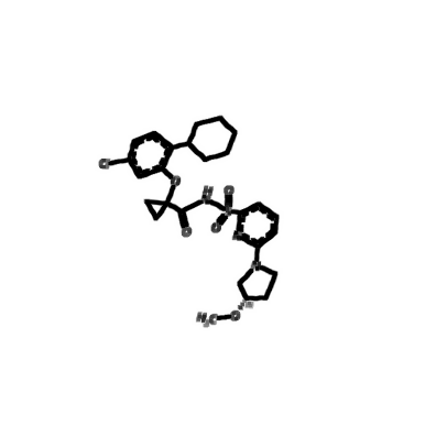 CO[C@H]1CCN(c2cccc(S(=O)(=O)NC(=O)C3(Oc4cc(Cl)ccc4C4CCCCC4)CC3)n2)C1